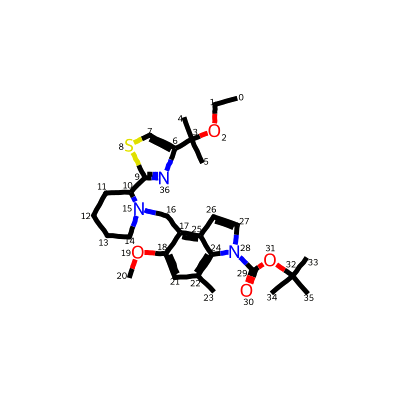 CCOC(C)(C)c1csc(C2CCCCN2Cc2c(OC)cc(C)c3c2ccn3C(=O)OC(C)(C)C)n1